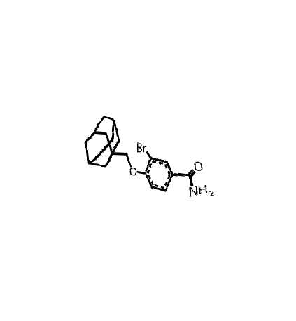 NC(=O)c1ccc(OCC23CC4CC(CC(C4)C2)C3)c(Br)c1